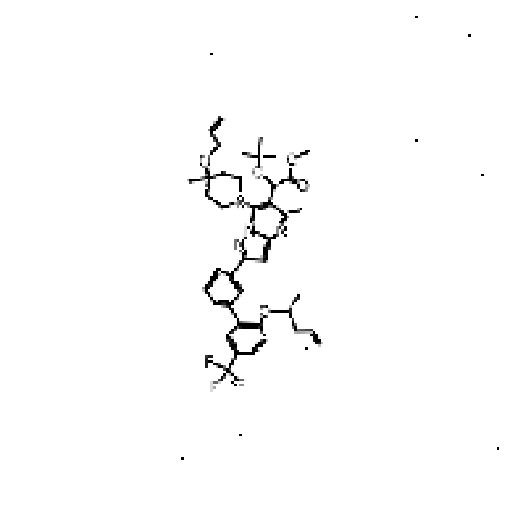 C=CCOC1(C)CCN(c2c(C(OC(C)(C)C)C(=O)OC)c(C)nc3cc(-c4cccc(-c5cc(C(F)(F)F)ccc5O[C@@H](C)CC=C)c4)nn23)CC1